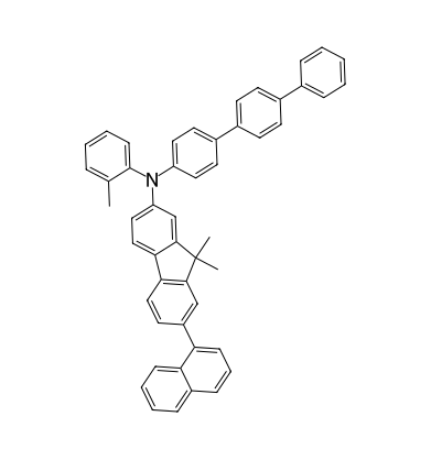 Cc1ccccc1N(c1ccc(-c2ccc(-c3ccccc3)cc2)cc1)c1ccc2c(c1)C(C)(C)c1cc(-c3cccc4ccccc34)ccc1-2